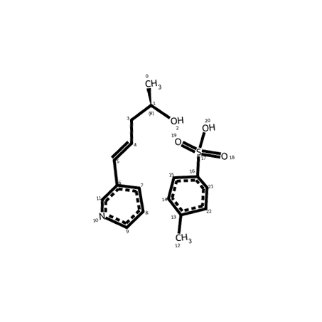 C[C@@H](O)CC=Cc1cccnc1.Cc1ccc(S(=O)(=O)O)cc1